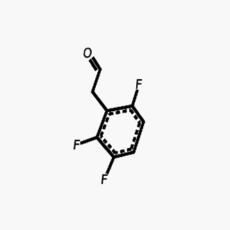 O=CCc1c(F)ccc(F)c1F